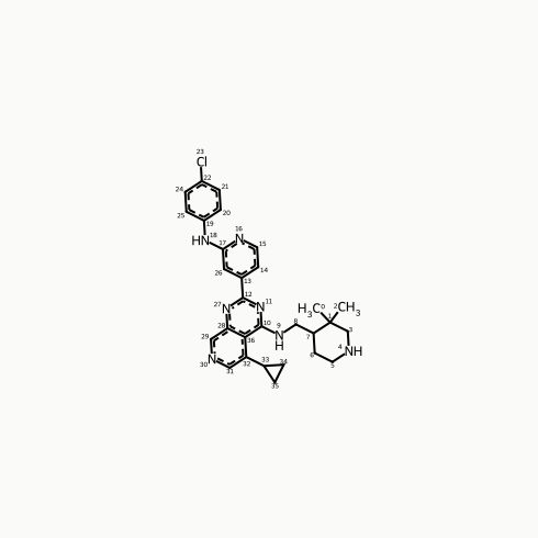 CC1(C)CNCCC1CNc1nc(-c2ccnc(Nc3ccc(Cl)cc3)c2)nc2cncc(C3CC3)c12